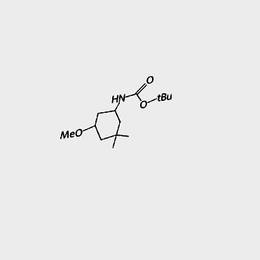 COC1CC(NC(=O)OC(C)(C)C)CC(C)(C)C1